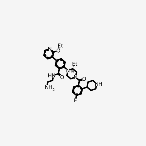 CCOc1ncccc1-c1ccc(N2CCN(C(=O)c3ccc(F)cc3C3CCNCC3)C[C@H]2CC)c(C(=O)NCCN)c1